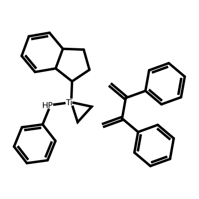 C1=CC2CC[CH]([Ti]3([PH]c4ccccc4)[CH2][CH2]3)C2C=C1.C=C(C(=C)c1ccccc1)c1ccccc1